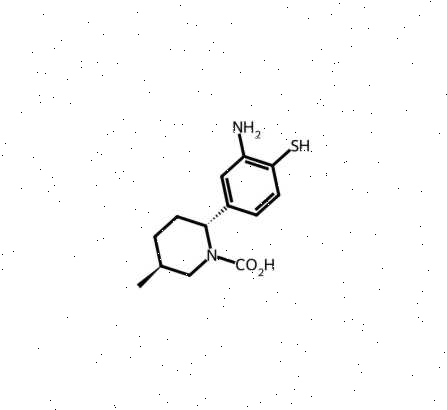 C[C@H]1CC[C@H](c2ccc(S)c(N)c2)N(C(=O)O)C1